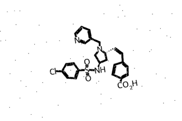 O=C(O)c1ccc(/C=C\[C@@H]2C[C@@H](NS(=O)(=O)c3ccc(Cl)cc3)CN2Cc2cccnc2)cc1